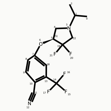 CC(C)N1C[C@H](Oc2ccc(C#N)c(C(F)(F)F)c2)C(F)(F)C1